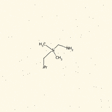 CC(C)C[Si](C)(C)CN